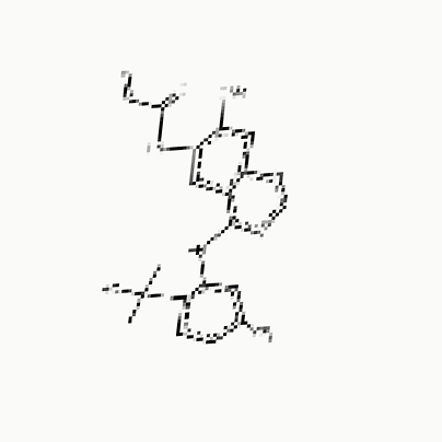 C=CC(=O)Nc1cc2c(Nc3cc(C(F)(F)F)ccc3C(C)(C)O)ncnc2cc1OC